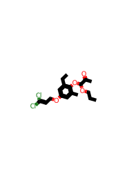 CCCOC(Oc1c(C)cc(OCC=C(Cl)Cl)cc1CC)C(C)=O